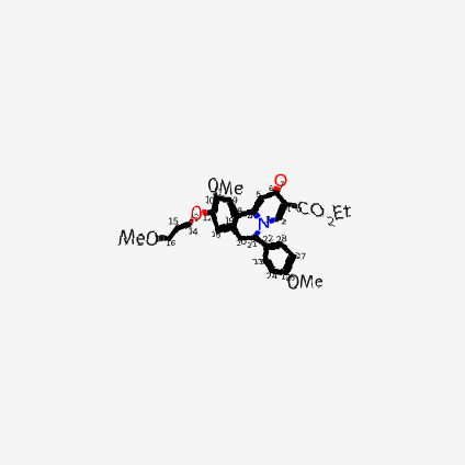 CCOC(=O)c1cn2c(cc1=O)-c1cc(OC)c(OCCCOC)cc1CC2c1ccc(OC)cc1